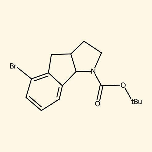 CC(C)(C)OC(=O)N1CCC2Cc3c(Br)cccc3C21